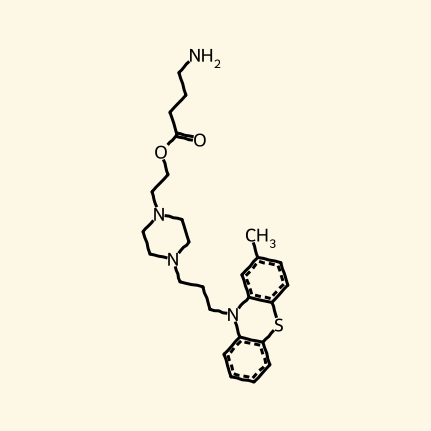 Cc1ccc2c(c1)N(CCCN1CCN(CCOC(=O)CCCN)CC1)c1ccccc1S2